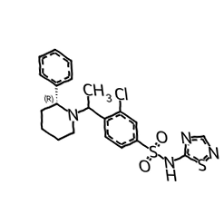 CC(c1ccc(S(=O)(=O)Nc2ncns2)cc1Cl)N1CCCC[C@@H]1c1ccccc1